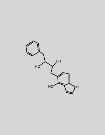 Oc1c(CC(O)C(O)Cc2ccccc2)ccc2[nH]ccc12